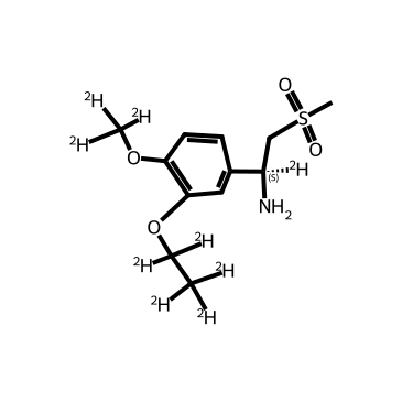 [2H]C([2H])([2H])Oc1ccc([C@]([2H])(N)CS(C)(=O)=O)cc1OC([2H])([2H])C([2H])([2H])[2H]